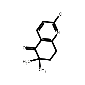 CC1(C)CCc2nc(Cl)ccc2C1=O